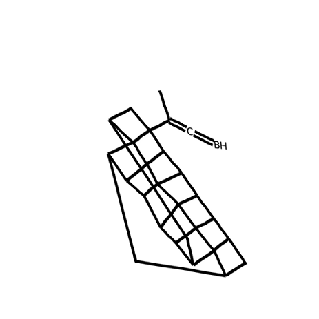 B=C=C(C)C12CC3CC4C5C6C7C8C9CC%10CC%11C%12C%13C%14C1C8(C392)C7%14C6%13C5%12C%104%11